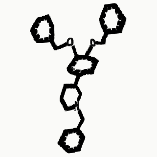 C1=C(c2ccc(OCc3ccccc3)c(OCc3ccccc3)c2)CN(Cc2ccccc2)CC1